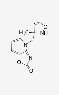 CC1(Cn2cccc3oc(=O)nc2-3)C=CON1